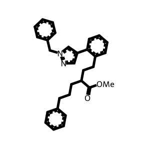 COC(=O)C(CCCc1ccccc1)CCc1ccccc1-c1cnn(Cc2ccccc2)c1